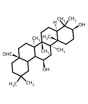 CC1(C)CC[C@]2(C=O)CC[C@]3(C)C(C2C1)[C@H](O)C[C@@]1(C)[C@@]3(C)CC[C@H]2C(C)(C)[C@@H](O)CC[C@@]21C